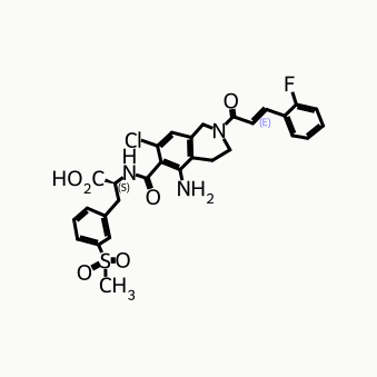 CS(=O)(=O)c1cccc(C[C@H](NC(=O)c2c(Cl)cc3c(c2N)CCN(C(=O)/C=C/c2ccccc2F)C3)C(=O)O)c1